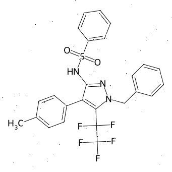 Cc1ccc(-c2c(NS(=O)(=O)c3ccccc3)nn(Cc3ccccc3)c2C(F)(F)C(F)(F)F)cc1